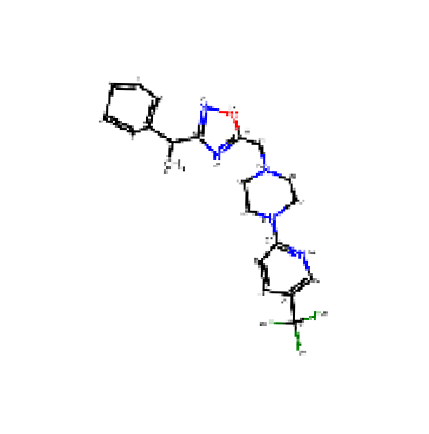 CC(c1ccccc1)c1noc(CN2CCN(c3ccc(C(F)(F)F)cn3)CC2)n1